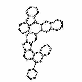 c1ccc(-c2nc3ccccc3c3c2ccc2sc4ccc(-c5cc6ccccc6cc5-n5c6ccccc6c6ccccc65)cc4c23)cc1